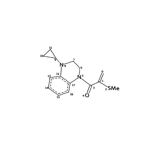 C=C(SC)C(=O)N1CCN(C2CC2)c2ccccc21